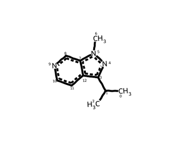 CC(C)c1nn(C)c2cnccc12